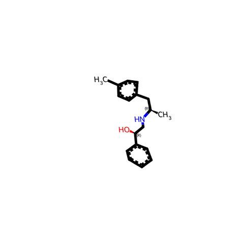 Cc1ccc(C[C@@H](C)NC[C@H](O)c2ccccc2)cc1